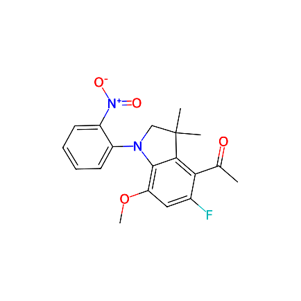 COc1cc(F)c(C(C)=O)c2c1N(c1ccccc1[N+](=O)[O-])CC2(C)C